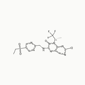 CCS(=O)(=O)c1cnc(CNc2nc3cnc(Cl)nc3n([C@@H](C)C(F)(F)F)c2=O)nc1